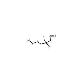 COCC(F)(F)CCCC(C)C